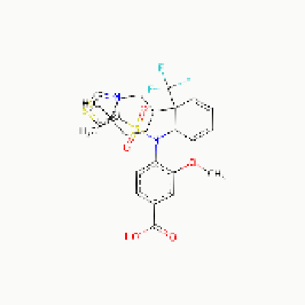 COc1cc(C(=O)O)ccc1N(C1C=CC=CC1(C1CCC(C)(C)CC1)C(F)(F)F)S(=O)(=O)c1cscn1